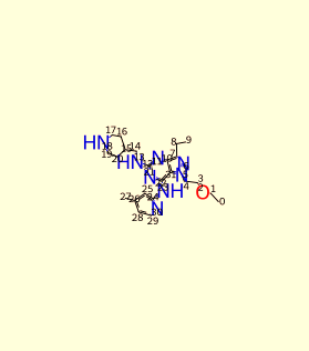 CCOCCn1nc(CC)c2nc(NCC3CCNCC3)nc(Nc3cc(C)ccn3)c21